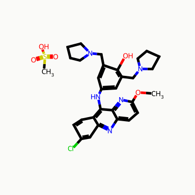 COc1ccc2nc3cc(Cl)ccc3c(Nc3cc(CN4CCCC4)c(O)c(CN4CCCC4)c3)c2n1.CS(=O)(=O)O